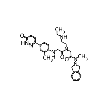 CCNCCN(CC(=O)N(C)N1Cc2ccccc2C1)C(=O)CNc1ccc(-c2ccc(=O)[nH]n2)cc1C